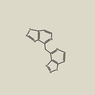 c1cc2snnc2c(Cc2nccc3snnc23)n1